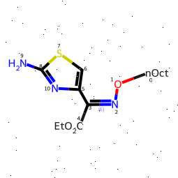 CCCCCCCCO/N=C(/C(=O)OCC)c1csc(N)n1